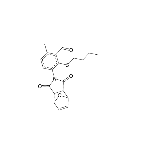 CCCCSc1c(N2C(=O)C3C4C=CC(O4)C3C2=O)ccc(C)c1C=O